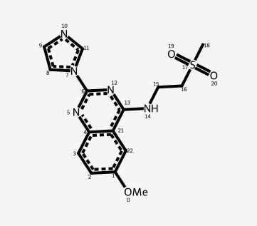 COc1ccc2nc(-n3ccnc3)nc(NCCS(C)(=O)=O)c2c1